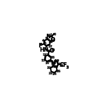 Cc1nc2cc(F)c(NC(=O)c3cccc(-n4nc(C(F)(F)F)c5c4CCCC5)c3)cc2o1